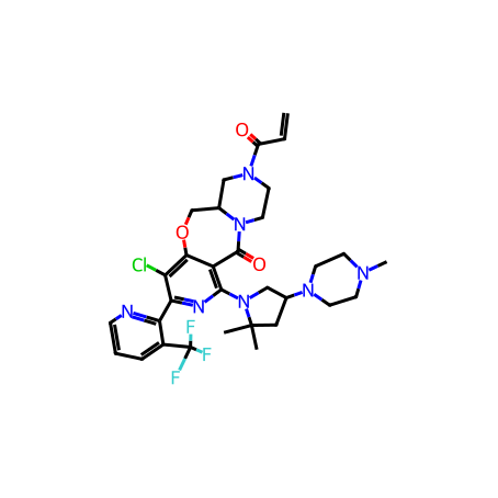 C=CC(=O)N1CCN2C(=O)c3c(N4CC(N5CCN(C)CC5)CC4(C)C)nc(-c4ncccc4C(F)(F)F)c(Cl)c3OCC2C1